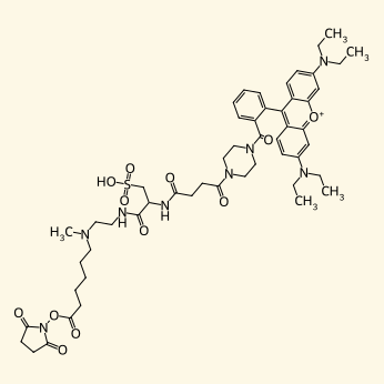 CCN(CC)c1ccc2c(-c3ccccc3C(=O)N3CCN(C(=O)CCC(=O)NC(CS(=O)(=O)O)C(=O)NCCN(C)CCCCCC(=O)ON4C(=O)CCC4=O)CC3)c3ccc(N(CC)CC)cc3[o+]c2c1